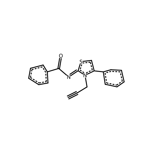 C#CCn1c(-c2ccccc2)csc1=NC(=O)c1ccccc1